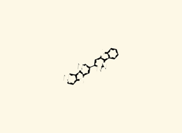 c1ccc2c(c1)sc1cc(-c3cnc4c(c3)sc3ccncc34)nnc12